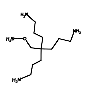 NCCCC(CCCN)(CCCN)CO[SiH3]